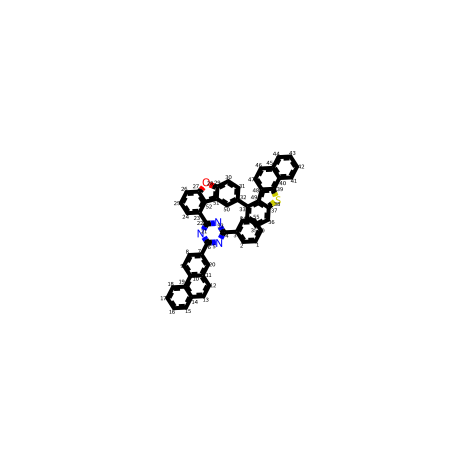 c1ccc(-c2nc(-c3ccc4c(ccc5ccccc54)c3)nc(-c3cccc4oc5ccc(-c6cccc7sc8c9ccccc9ccc8c67)cc5c34)n2)cc1